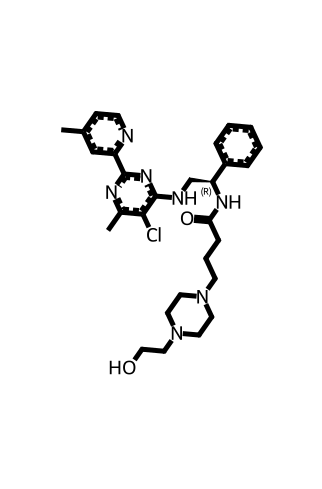 Cc1ccnc(-c2nc(C)c(Cl)c(NC[C@H](NC(=O)CCCN3CCN(CCO)CC3)c3ccccc3)n2)c1